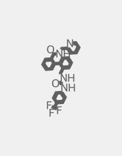 O=C(NCc1ccccc1-c1ccccc1C(=O)NCc1ccccn1)Nc1ccc(C(F)(F)F)cc1